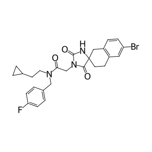 O=C(CN1C(=O)NC2(CCc3cc(Br)ccc3C2)C1=O)N(CCC1CC1)Cc1ccc(F)cc1